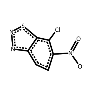 O=[N+]([O-])c1ccc2nnsc2c1Cl